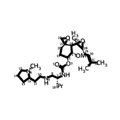 CO[C@@H]1[C@H](OC(=O)N[C@@H](CNCCC2CCCN2C)C(C)C)CC[C@]2(CO2)[C@H]1[C@@]1(C)O[C@@H]1CC=C(C)C